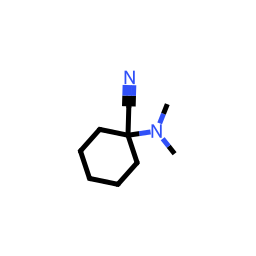 CN(C)C1(C#N)CCCCC1